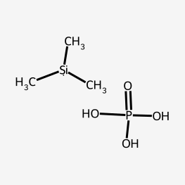 C[Si](C)C.O=P(O)(O)O